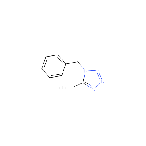 CCCCCc1nnnn1Cc1ccccc1